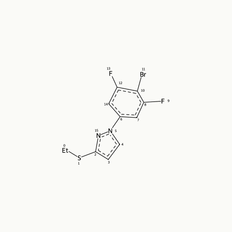 CCSc1ccn(-c2cc(F)c(Br)c(F)c2)n1